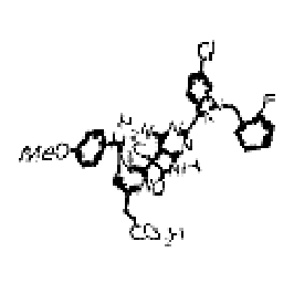 COc1ccc(Cn2cc(CCC(=O)O)nc2C2(C)C(=O)Nc3nc(-c4nn(Cc5ccccc5F)c5cc(Cl)ccc45)nc(N)c32)cc1